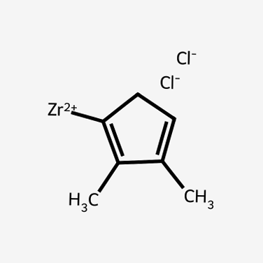 CC1=CC[C]([Zr+2])=C1C.[Cl-].[Cl-]